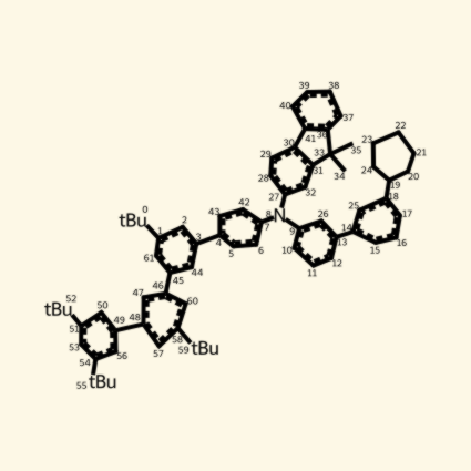 CC(C)(C)c1cc(-c2ccc(N(c3cccc(-c4cccc(C5CCCCC5)c4)c3)c3ccc4c(c3)C(C)(C)c3ccccc3-4)cc2)cc(-c2cc(-c3cc(C(C)(C)C)cc(C(C)(C)C)c3)cc(C(C)(C)C)c2)c1